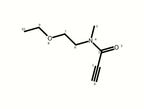 C#CC(=O)N(C)CCOCC